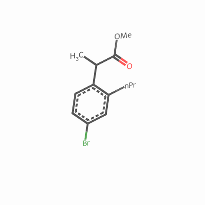 CCCc1cc(Br)ccc1C(C)C(=O)OC